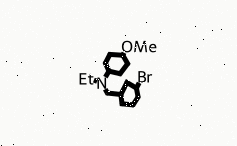 CCN(CC1CCCC(Br)C1)C1CCC(OC)CC1